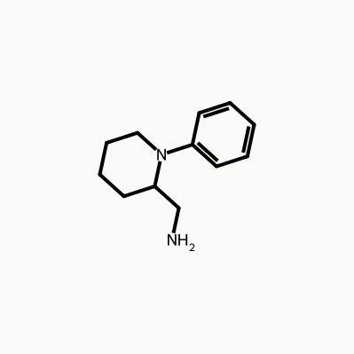 NCC1CCCCN1c1ccccc1